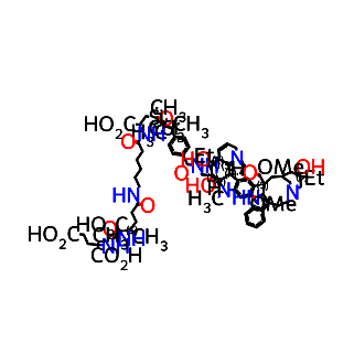 CC[C@]1(O)CC2CN(CCc3c([nH]c4ccccc34)[C@@](C(=O)OC)(c3cc4c(cc3OC)N(C)[C@H]3[C@@](O)(CNC(=O)c5ccc([Si](C)(C)O[Si](C)(C)CC(NC(=O)CCCCCNC(=O)CC[C@](C)(NC(=O)NC(C)(CCC(=O)O)C(=O)O)C(=O)O)C(=O)O)cc5)[C@H](O)[C@]5(CC)C=CCN6CC[C@]43[C@H]65)C2)C1